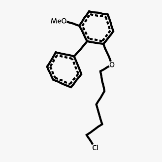 COc1cccc(OCCCCCCl)c1-c1ccccc1